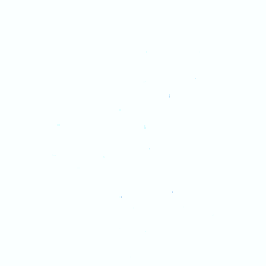 CC1(C)CCC(C)(C)c2cc(C(=Cc3ccc(C(=O)O)cc3)Cc3ccccc3)ccc21